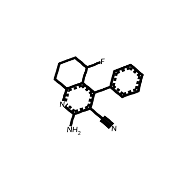 N#Cc1c(N)nc2c(c1-c1ccccc1)C(F)CCC2